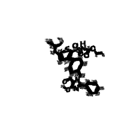 CCOC(=O)NS(=O)(=O)c1sc(CC(C)C)cc1-c1ccc(Cn2c(-c3ccccc3)nc(OC)c2C=O)cc1